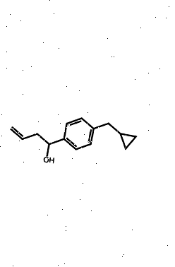 C=CCC(O)c1ccc(CC2CC2)cc1